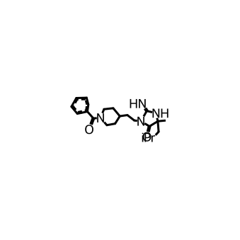 CC(C)CC1(C)NC(=N)N(CCC2CCN(C(=O)c3ccccc3)CC2)C1=O